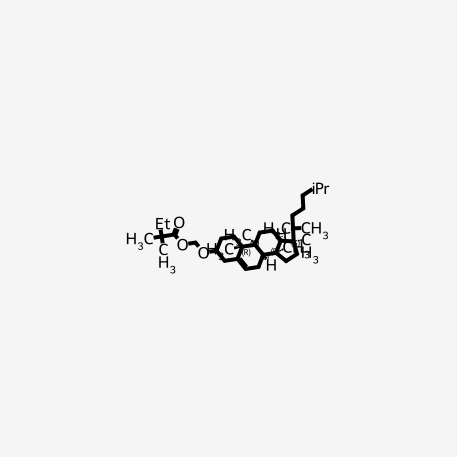 CCC(C)(C)C(=O)OCOC1CC[C@@]2(C)C(=CC[C@H]3[C@]4(C)CC[C@](C)(C(C)(C)CCCC(C)C)[C@H]4CC[C@@]32C)C1